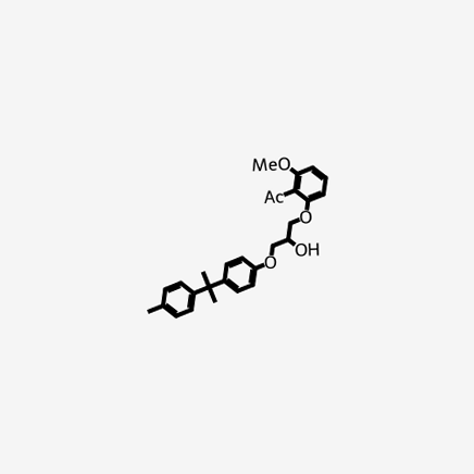 COc1cccc(OCC(O)COc2ccc(C(C)(C)c3ccc(C)cc3)cc2)c1C(C)=O